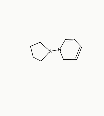 C1=CCN(N2CCCC2)C=C1